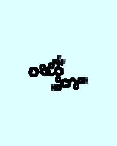 O=C(O)Cc1ccc(O)c(Oc2ccc(C(F)(F)F)cc2CN2C[C@H](c3ccccc3)OC2=O)c1